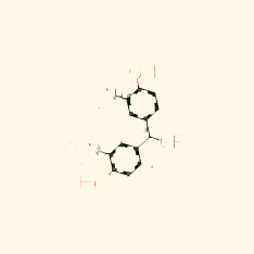 O=[N+]([O-])c1cc(C(c2ccc(O)c([N+](=O)[O-])c2)C(F)(F)F)ccc1O